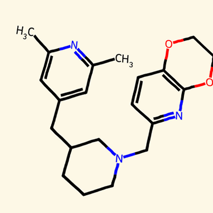 Cc1cc(CC2CCCN(Cc3ccc4c(n3)OCCO4)C2)cc(C)n1